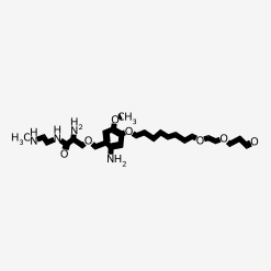 CNCCNC(=O)C(N)COCc1cc(OC)c(OCCCCCCCCOCCOCCC=O)cc1N